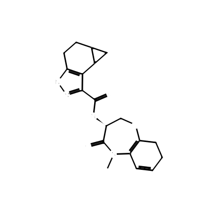 CN1C(=O)[C@@H](NC(=O)c2n[nH]c3c2C2CC2CC3)COC2=C1C=CCC2